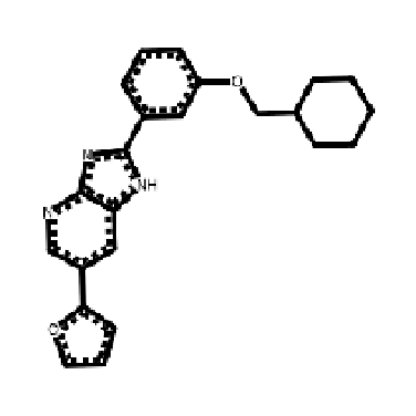 c1cc(OCC2CCCCC2)cc(-c2nc3ncc(-c4ccco4)cc3[nH]2)c1